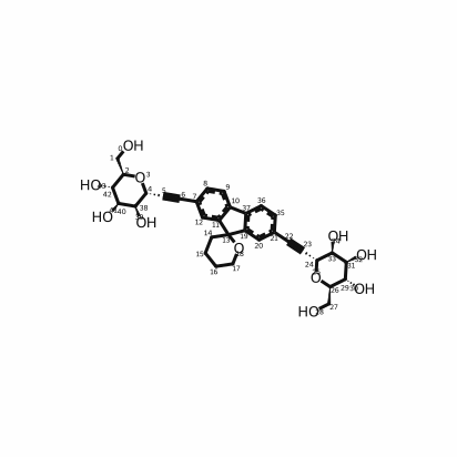 OC[C@H]1O[C@H](C#Cc2ccc3c(c2)C2(CCCCO2)c2cc(C#C[C@H]4O[C@H](CO)[C@@H](O)[C@H](O)[C@@H]4O)ccc2-3)[C@@H](O)[C@@H](O)[C@@H]1O